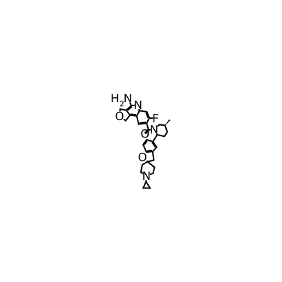 C[C@H]1CCC(c2ccc3c(c2)CC2(CCN(C4CC4)CC2)O3)N(C(=O)c2cc3c4c(c(N)nc3cc2F)COC4)C1